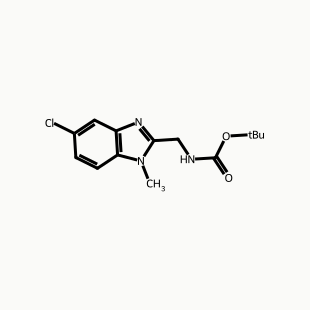 Cn1c(CNC(=O)OC(C)(C)C)nc2cc(Cl)ccc21